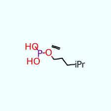 C=C.CC(C)CCCOP(O)O